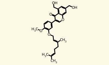 COc1ccc(-c2coc3cc(CO)cc(CO)c3c2=O)cc1OC/C=C(\C)CCC=C(C)C